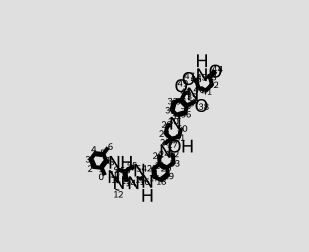 Cc1cccc(C)c1Nc1nn(C)c2nc(Nc3ccc4c(c3)CN(CC3(O)CCN(c5ccc6c(c5)C(=O)N(C5CCC(=O)NC5=O)C6=O)CC3)CC4)ncc12